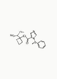 COC(O)C1(OC(=O)c2cncn2[C@H](C)c2ccccc2)CCC1